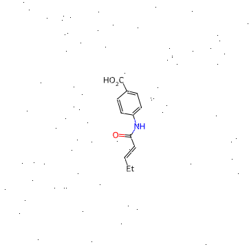 CC/C=C/C(=O)Nc1ccc(C(=O)O)cc1